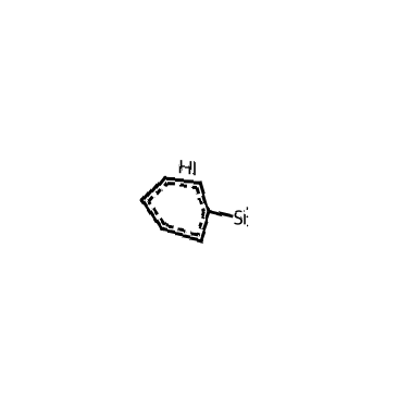 I.[Si]c1ccccc1